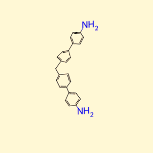 Nc1ccc(-c2ccc(Cc3ccc(-c4ccc(N)cc4)cc3)cc2)cc1